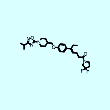 CC/C(=C\CCC(=O)N1CCC(F)(F)C1)c1ccc(OCC2CCN(c3nc(C(C)C)no3)CC2)cc1